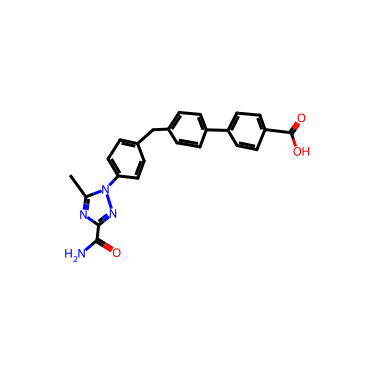 Cc1nc(C(N)=O)nn1-c1ccc(Cc2ccc(-c3ccc(C(=O)O)cc3)cc2)cc1